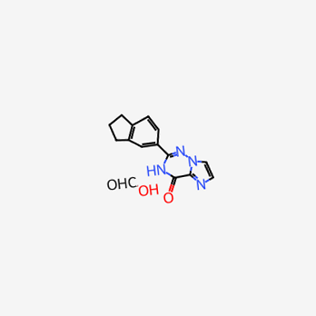 O=CO.O=c1[nH]c(-c2ccc3c(c2)CCC3)nn2ccnc12